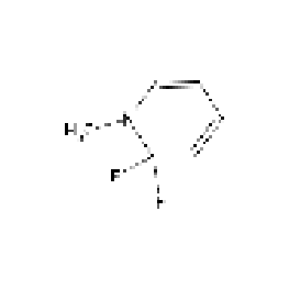 CN1C=CC=CC1(F)F